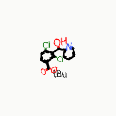 CC(C)(C)OC(=O)c1ccc(Cl)c(C(O)c2ccccn2)c1Cl